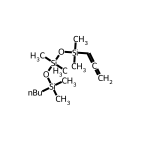 C=C=C[Si](C)(C)O[Si](C)(C)O[Si](C)(C)CCCC